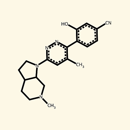 Cc1cc(N2CCC3CCN(C)CC32)nnc1-c1ccc(C#N)cc1O